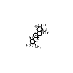 CC1CC(O)[C@](C)(CN)C2CCC3(C)C(CC=C4C5C[C@@](C)(S)C(O)[C@H](O)C5(CN)[C@H](O)C[C@]43C)C12S